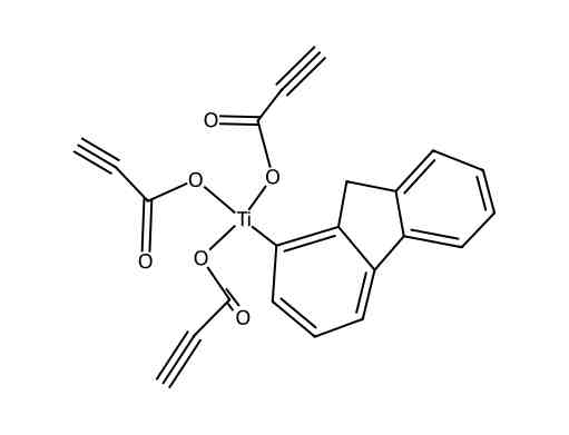 C#CC(=O)[O][Ti]([O]C(=O)C#C)([O]C(=O)C#C)[c]1cccc2c1Cc1ccccc1-2